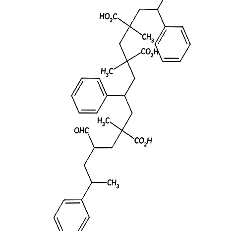 CCC(CC(C)(CC(C)(CC(CC(C)(CC(C=O)CC(C)c1ccccc1)C(=O)O)c1ccccc1)C(=O)O)C(=O)O)c1ccccc1